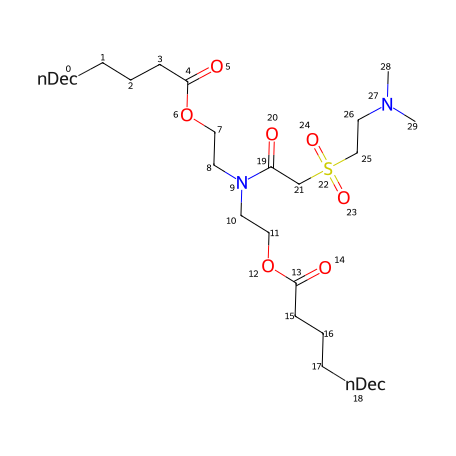 CCCCCCCCCCCCCC(=O)OCCN(CCOC(=O)CCCCCCCCCCCCC)C(=O)CS(=O)(=O)CCN(C)C